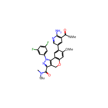 CNC(=O)c1cc(-c2cc3c(cc2OC)OCc2c(C(=O)N(C)C(C)(C)C)nn(-c4cc(F)cc(F)c4)c2-3)cnc1N